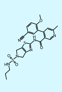 CCCNS(=O)(=O)N1Cc2nc(NC(=O)c3cnc(C)cc3-c3cc(C#N)ccc3OC)sc2C1